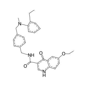 CCOc1ccc2[nH]cc(C(=O)NCc3ccc(CN(C)c4ccccc4CC)cc3)c(=O)c2c1